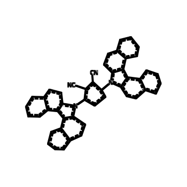 N#Cc1c(-n2c3ccc4ccccc4c3c3c4ccccc4ccc32)ccc(-n2c3ccc4ccccc4c3c3c4ccccc4ccc32)c1C#N